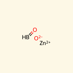 B=O.[O-2].[Zn+2]